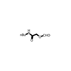 CCCCNC(=O)CO[C]=O